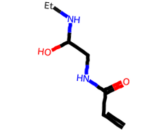 C=CC(=O)NCC(O)NCC